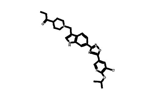 CCC(=O)C1CCN(Cc2c[nH]c3cc(-c4noc(-c5cnc(OC(C)C)c(Cl)c5)n4)ccc23)CC1